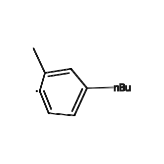 CCCCc1cc[c]c(C)c1